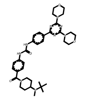 CN(C1CCN(C(=O)c2ccc(NC(=O)Nc3ccc(-c4nc(N5CCOCC5)nc(N5CCOCC5)n4)cc3)cc2)CC1)C(C)(C)C